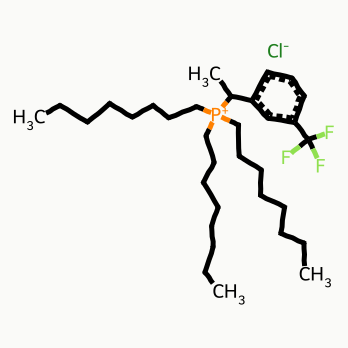 CCCCCCCC[P+](CCCCCCCC)(CCCCCCCC)C(C)c1cccc(C(F)(F)F)c1.[Cl-]